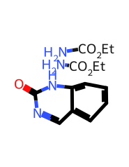 CCOC(N)=O.CCOC(N)=O.O=c1ncc2ccccc2[nH]1